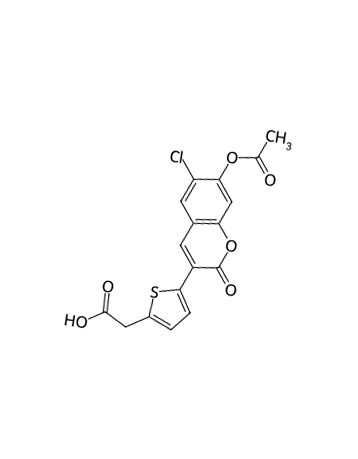 CC(=O)Oc1cc2oc(=O)c(-c3ccc(CC(=O)O)s3)cc2cc1Cl